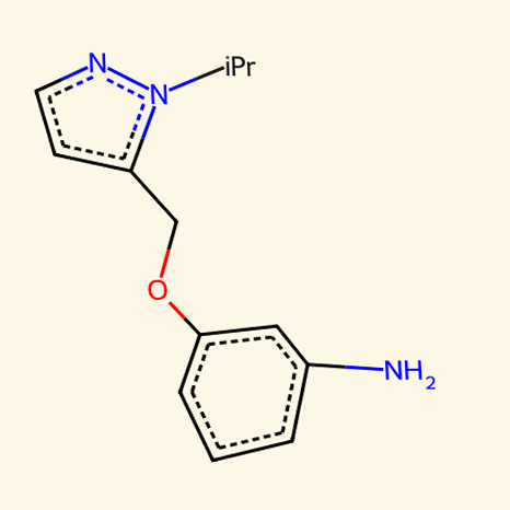 CC(C)n1nccc1COc1cccc(N)c1